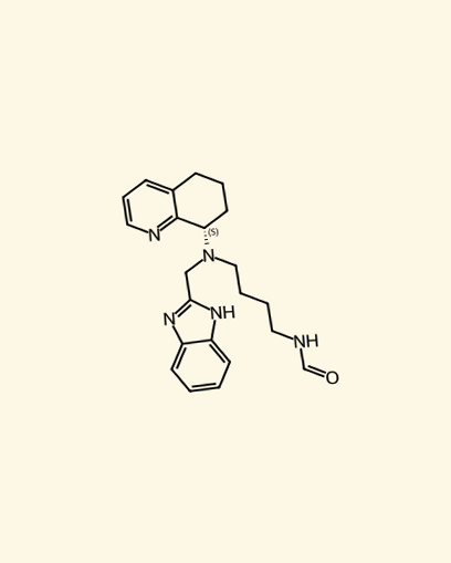 O=CNCCCCN(Cc1nc2ccccc2[nH]1)[C@H]1CCCc2cccnc21